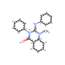 Cn1c(=Nc2ccccc2)n(-c2ccccc2)c(=O)c2ccccc21